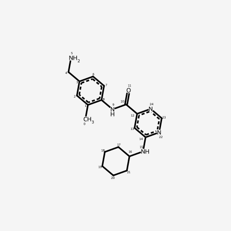 Cc1cc(CN)ccc1NC(=O)c1cc(NC2CCCCC2)ncn1